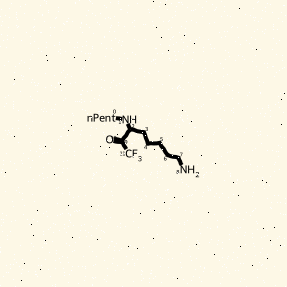 CCCCCNC(CCCCCN)C(=O)C(F)(F)F